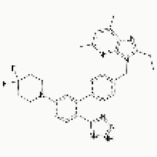 CCc1nc2c(C)cc(C)nc2n1Cc1ccc(-c2cc(N3CCC(F)(F)CC3)ccc2-c2nn[nH]n2)cc1